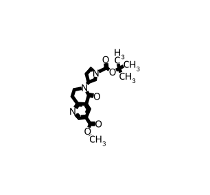 COC(=O)c1cnc2c(c1)C(=O)N(C1CCN(C(=O)OC(C)(C)C)C1)CC2